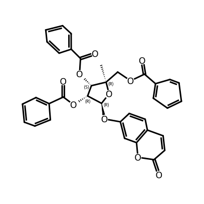 C[C@]1(COC(=O)c2ccccc2)O[C@@H](Oc2ccc3ccc(=O)oc3c2)[C@H](OC(=O)c2ccccc2)[C@@H]1OC(=O)c1ccccc1